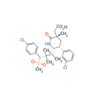 CC([C@@H]1NC(=O)[C@](C)(CC(=O)O)C[C@@H]1c1cccc(Cl)c1)C(C)(C)[C@@H](c1ccc(Cl)cc1)S(C)(=O)=O